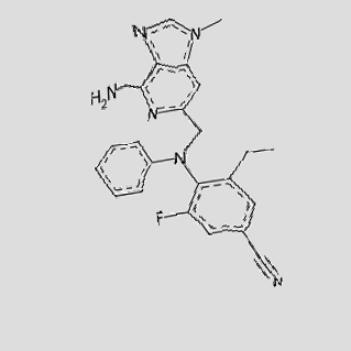 CCc1cc(C#N)cc(F)c1N(Cc1cc2c(ncn2C)c(N)n1)c1ccccc1